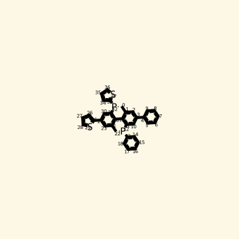 Cc1cc(-c2ccccc2)cc([P]c2ccccc2)c1-c1c(C)cc(-c2cccs2)cc1[P]c1cccs1